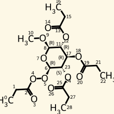 CCC(=O)OO[C@H]1O[C@@H](OC)[C@H](OC(=O)CC)[C@@H](OC(=O)CC)[C@@H]1OC(=O)CC